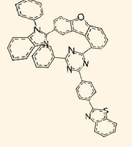 c1ccc(-c2nc(-c3ccc(-c4nc5ccccc5s4)cc3)nc(-c3cccc4oc5ccc(-c6nc7ccccc7n6-c6ccccc6)cc5c34)n2)cc1